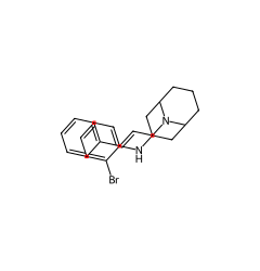 Brc1ccccc1NC1CC2CCCC(C1)N2CC=Cc1ccccc1